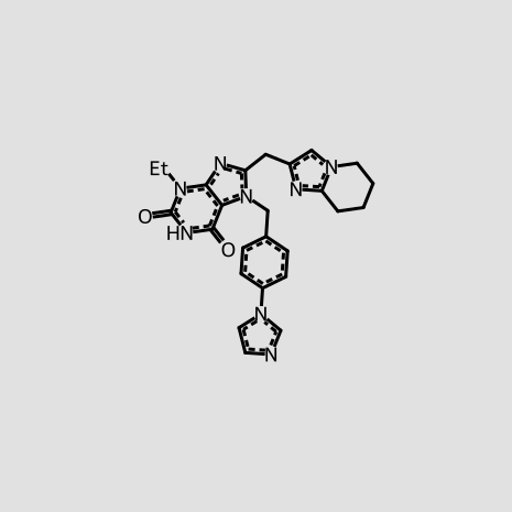 CCn1c(=O)[nH]c(=O)c2c1nc(Cc1cn3c(n1)CCCC3)n2Cc1ccc(-n2ccnc2)cc1